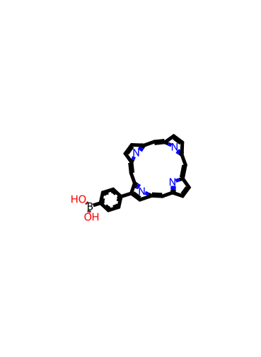 OB(O)c1ccc(C2=CC3=CC4=NC(=CC5=NC(=CC6=NC(=CC2=N3)C=C6)C=C5)C=C4)cc1